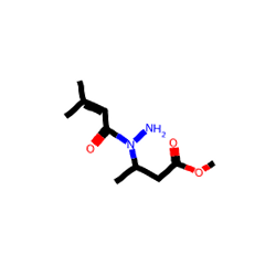 COC(=O)CC(C)N(N)C(=O)C=C(C)C